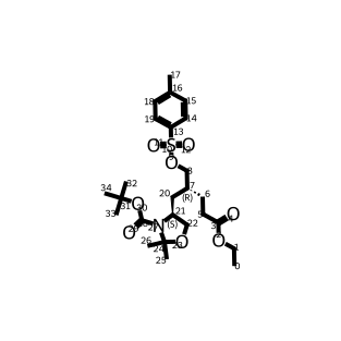 CCOC(=O)CC[C@@H](COS(=O)(=O)c1ccc(C)cc1)C[C@H]1COC(C)(C)N1C(=O)OC(C)(C)C